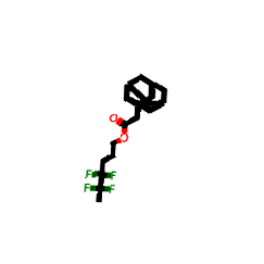 CC(F)(F)C(F)(F)CCCOC(=O)CC12CC3CC(CC(C3)C1)C2